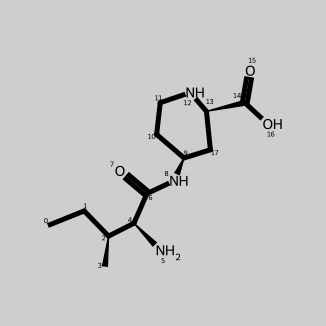 CC[C@H](C)[C@H](N)C(=O)N[C@H]1CCN[C@@H](C(=O)O)C1